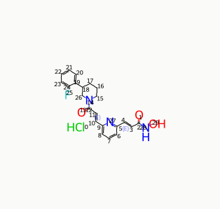 Cl.O=C(/C=C/c1cccc(/C=C/C(=O)N2CCCC(c3ccccc3F)C2)n1)NO